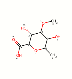 COC1C(O)C(C)OC(C(=O)O)[C@@H]1O